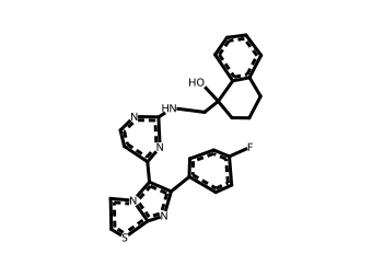 OC1(CNc2nccc(-c3c(-c4ccc(F)cc4)nc4sccn34)n2)CCCc2ccccc21